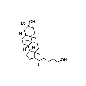 CC[C@]1(O)CC[C@@]2(C)[C@@H](CC[C@@H]3[C@@H]2CC[C@]2(C)[C@@H]([C@H](C)CCCCO)CC[C@@H]32)C1